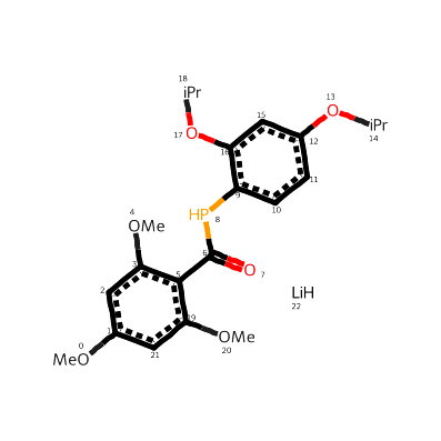 COc1cc(OC)c(C(=O)Pc2ccc(OC(C)C)cc2OC(C)C)c(OC)c1.[LiH]